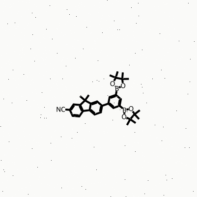 CC1(C)c2cc(C#N)ccc2-c2ccc(-c3cc(B4OC(C)(C)C(C)(C)O4)cc(B4OC(C)(C)C(C)(C)O4)c3)cc21